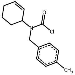 Cc1ccc(CN(C(=O)Cl)C2C=CCCC2)cc1